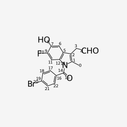 Cc1c(CC=O)c2cc(O)c(F)cc2n1C(=O)c1ccc(Br)cc1